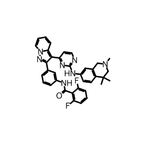 CN1Cc2cc(Nc3nccc(-c4c(-c5cccc(NC(=O)c6c(F)cccc6F)c5)nn5ccccc45)n3)ccc2C(C)(C)C1